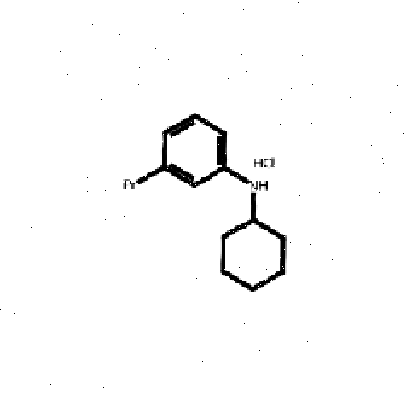 CC(C)c1cccc(NC2CCCCC2)c1.Cl